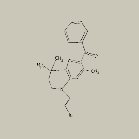 Cc1cc2c(cc1C(=O)c1ccccc1)C(C)(C)CCN2CCBr